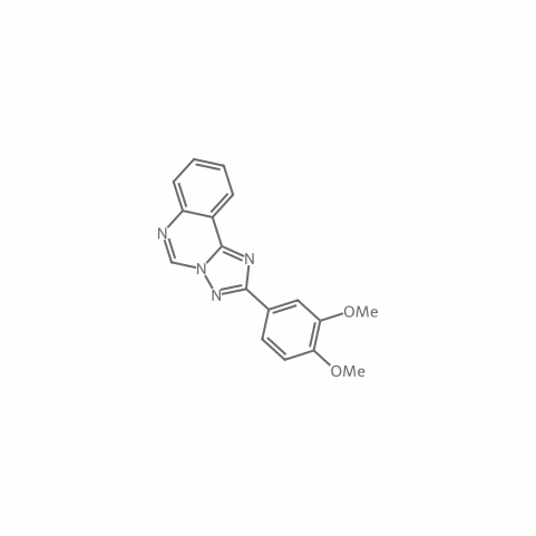 COc1ccc(-c2nc3c4ccccc4ncn3n2)cc1OC